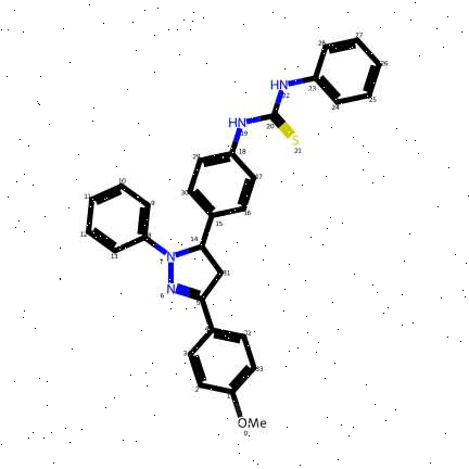 COc1ccc(C2=NN(c3ccccc3)C(c3ccc(NC(=S)Nc4ccccc4)cc3)C2)cc1